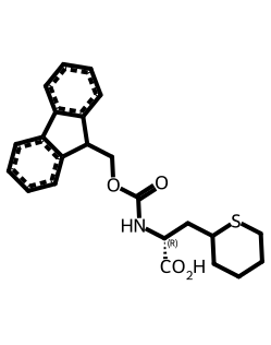 O=C(N[C@H](CC1CCCCS1)C(=O)O)OCC1c2ccccc2-c2ccccc21